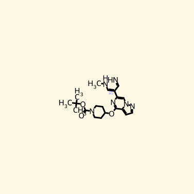 CN/C=C(\C=N)c1cn2nccc2c(OC2CCN(C(=O)OC(C)(C)C)CC2)n1